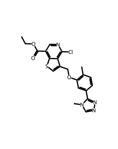 CCOC(=O)c1cnc(Cl)c2c(COc3cc(-c4nncn4C)ccc3C)csc12